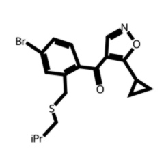 CC(C)CSCc1cc(Br)ccc1C(=O)c1cnoc1C1CC1